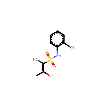 C/C(O)=C(\C#N)S(=O)(=O)Nc1ccccc1C(F)(F)F